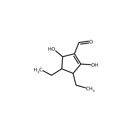 CCC1C(O)=C(C=O)C(O)C1CC